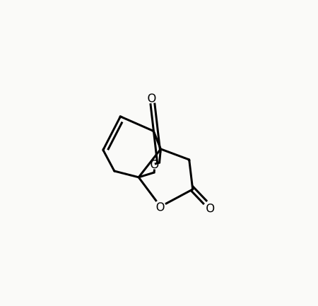 O=C1CC23CC=CCC2(COC3=O)O1